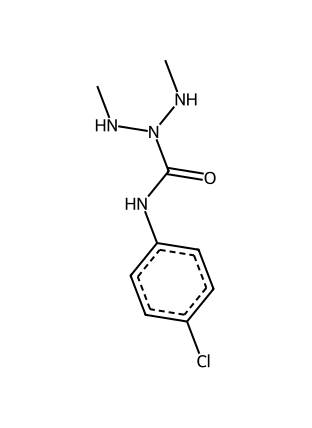 CNN(NC)C(=O)Nc1ccc(Cl)cc1